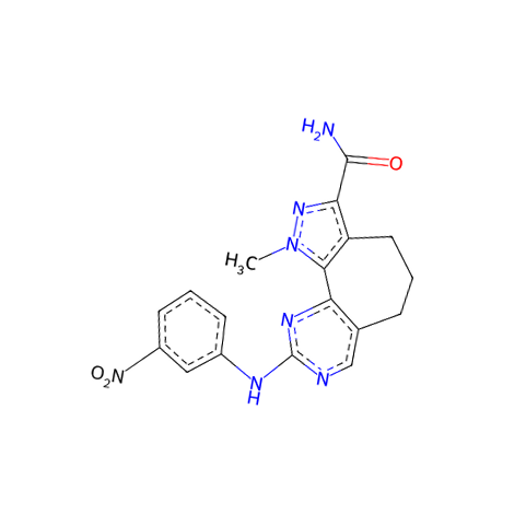 Cn1nc(C(N)=O)c2c1-c1nc(Nc3cccc([N+](=O)[O-])c3)ncc1CCC2